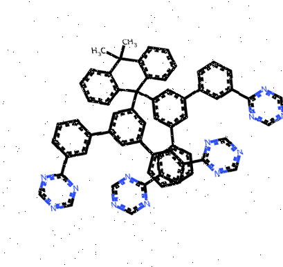 CC1(C)c2ccccc2C(c2cc(-c3cccc(-c4ncncn4)c3)cc(-c3cccc(-c4ncncn4)c3)c2)(c2cc(-c3cccc(-c4ncncn4)c3)cc(-c3cccc(-c4ncncn4)c3)c2)c2ccccc21